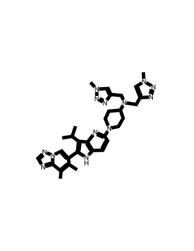 Cc1c(-c2[nH]c3ccc(N4CCC(N(Cc5cn(C)nn5)Cc5cn(C)nn5)CC4)nc3c2C(C)C)cn2ncnc2c1C